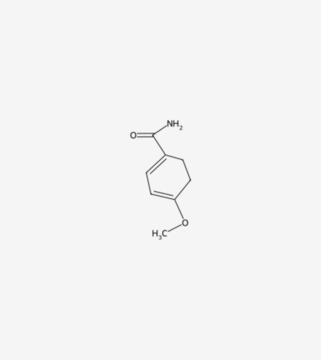 COC1=CC=C(C(N)=O)CC1